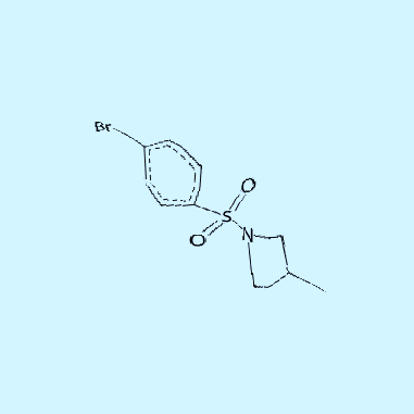 CC1CN(S(=O)(=O)c2ccc(Br)cc2)C1